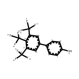 Oc1ccc(-c2cc(C(F)(F)F)c(C(F)(F)F)c(C(F)(F)F)c2)cc1